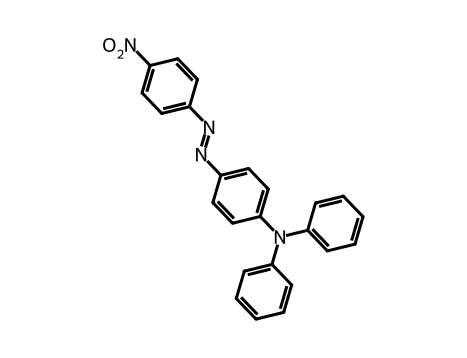 O=[N+]([O-])c1ccc(N=Nc2ccc(N(c3ccccc3)c3ccccc3)cc2)cc1